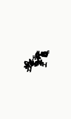 CC(C)C(=O)Nc1cncc(-c2ccc3[nH]nc(-c4cc5c(-c6ccc(F)cc6)nccc5[nH]4)c3c2)c1